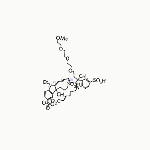 CCN1/C(=C/C=C/C=C/C2=[N+](CCCCCC(=O)O)c3ccc(S(=O)(=O)O)cc3C2(C)CCOCCOCCOCCOC)C(C)(CCCS(=O)(=O)O)c2cc(S(=O)(=O)[O-])ccc21